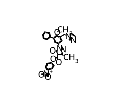 COc1c(Cn2ccnc2)cc(N2N=C(C)C(C(=O)Oc3ccc([N+](=O)[O-])cc3)C2=O)cc1-c1ccccc1